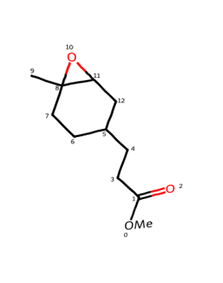 COC(=O)CCC1CCC2(C)OC2C1